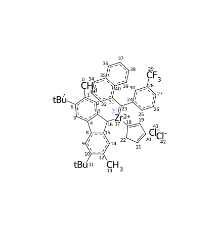 Cc1cc2c(cc1C(C)(C)C)-c1cc(C(C)(C)C)c(C)cc1[CH]2/[Zr+2]([C]1=CC=CC1)=[C](/c1cccc(C(F)(F)F)c1)c1cccc2ccccc12.[Cl-].[Cl-]